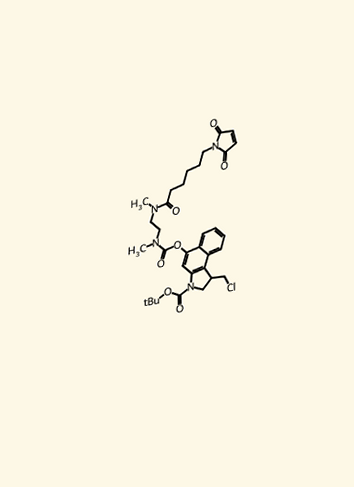 CN(CCN(C)C(=O)Oc1cc2c(c3ccccc13)C(CCl)CN2C(=O)OC(C)(C)C)C(=O)CCCCCN1C(=O)C=CC1=O